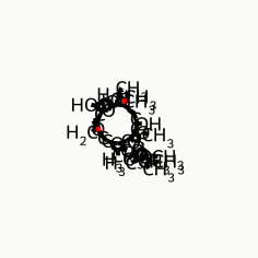 C=C1C(C)CC2CCC3OC4C(C[C@]56CC(O)C(O5)[C@H]5CC(O6)C(O[Si](CC)(CC)CC)[C@H](C/C=C/CC(O)CC6C(CC1O2)O[C@H](C[C@@H](CO[Si](CC)(CC)CC)O[Si](CC)(CC)CC)[C@@H]6OC)O5)C4C3=C